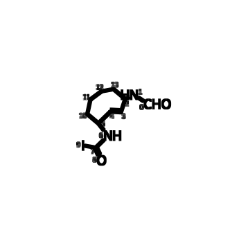 O=CNC1/C=C/C(NC(=O)I)CCCC1